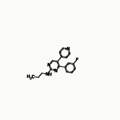 CCCNc1ncc(-c2ccncc2)c(-c2cccc(F)c2)n1